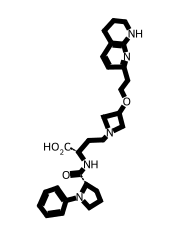 O=C(O)[C@H](CCN1CC(OCCc2ccc3c(n2)NCCC3)C1)NC(=O)[C@@H]1CCCN1c1ccccc1